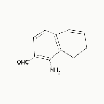 Nc1c(C=O)ccc2c1CCC=C2